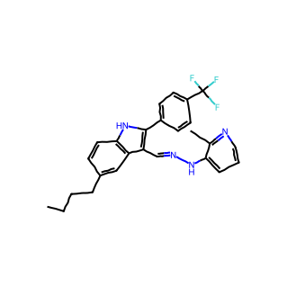 CCCCc1ccc2[nH]c(-c3ccc(C(F)(F)F)cc3)c(C=NNc3cccnc3C)c2c1